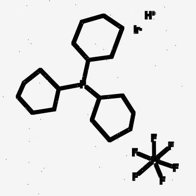 C1CCC(P(C2CCCCC2)C2CCCCC2)CC1.F[P-](F)(F)(F)(F)F.[H+].[Ir]